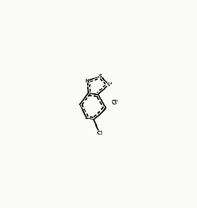 Clc1ccc2ns[s+]c2c1.[Cl-]